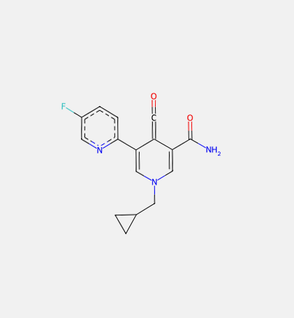 NC(=O)C1=CN(CC2CC2)C=C(c2ccc(F)cn2)C1=C=O